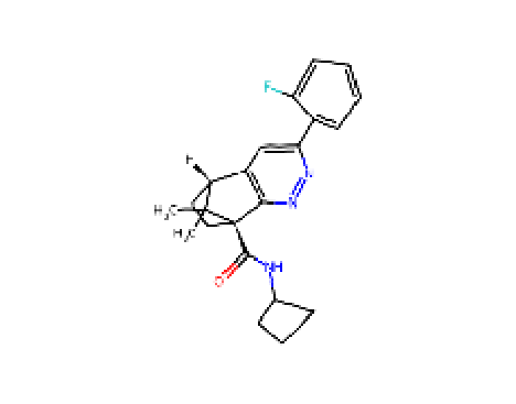 CC1(C)[C@@H]2CC[C@@]1(C(=O)NC1CCC1)c1nnc(-c3ccccc3F)cc12